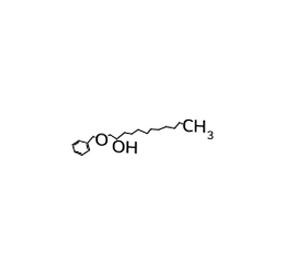 CCCCCCCCCCC(O)COCc1ccccc1